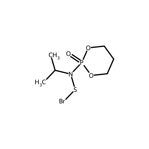 CC(C)N(SBr)P1(=O)OCCCO1